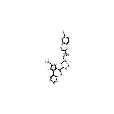 Cc1nc(C(=O)C2CCN[C@H](CNC(=O)Nc3ccc(F)cc3)C2)c(-c2ccccc2)s1